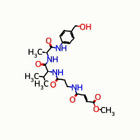 COC(=O)/C=C/C(=O)NCCC(=O)N[C@H](C(=O)N[C@@H](C)C(=O)Nc1ccc(CO)cc1)C(C)C